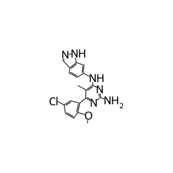 COc1ccc(Cl)cc1-c1nc(N)nc(Nc2ccc3cn[nH]c3c2)c1C